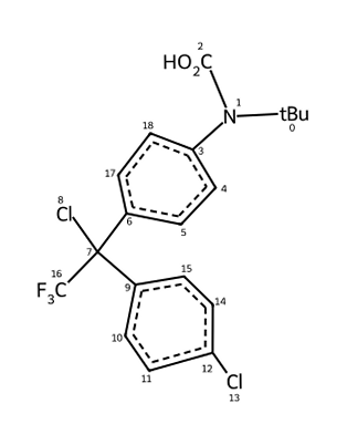 CC(C)(C)N(C(=O)O)c1ccc(C(Cl)(c2ccc(Cl)cc2)C(F)(F)F)cc1